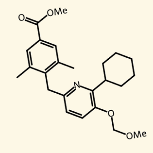 COCOc1ccc(Cc2c(C)cc(C(=O)OC)cc2C)nc1C1CCCCC1